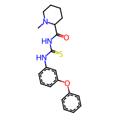 CN1CCCCC1C(=O)NC(=S)Nc1cccc(Oc2ccccc2)c1